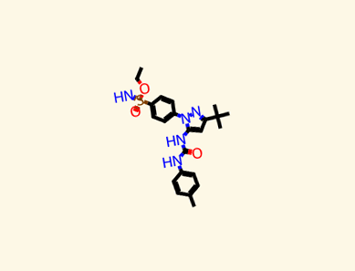 CCOS(=N)(=O)c1ccc(-n2nc(C(C)(C)C)cc2NC(=O)Nc2ccc(C)cc2)cc1